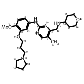 COc1ccc(Nc2ncc(C)c(CNC3CCOCC3)n2)cc1OCCCN1CCCC1